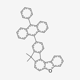 CC1(C)c2cc(-c3c4ccccc4c(-c4ccccc4)c4ccccc34)ccc2-c2c1ccc1oc3ccccc3c21